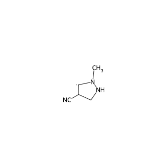 CN1[CH]C(C#N)CN1